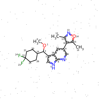 COC(c1c[nH]c2ncc(-c3c(C)noc3C)cc12)C1CCC(F)(F)CC1